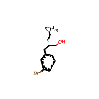 CCC[C@H](CO)Cc1cccc(Br)c1